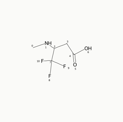 CNC(CC(=O)O)C(F)(F)F